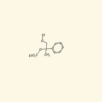 CCOCC(C)(OC(=O)OCC)c1ccccc1